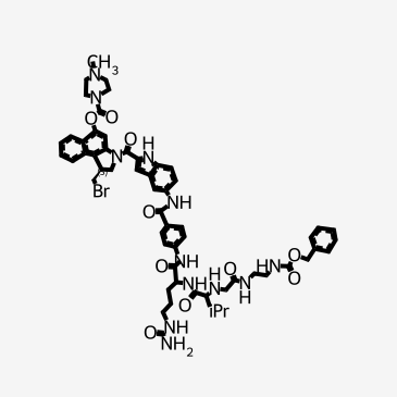 CC(C)C(NCC(=O)NCCNC(=O)OCc1ccccc1)C(=O)NC(CCCNC(N)=O)C(=O)Nc1ccc(C(=O)Nc2ccc3[nH]c(C(=O)N4C[C@@H](CBr)c5c4cc(OC(=O)N4CCN(C)CC4)c4ccccc54)cc3c2)cc1